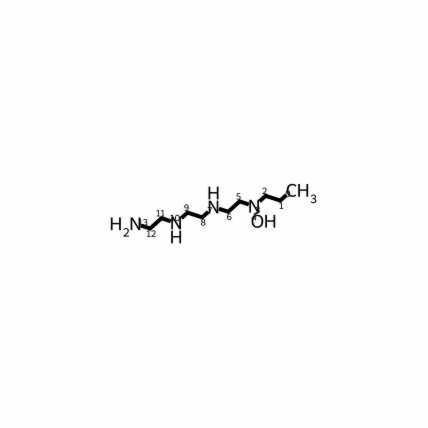 CCCN(O)CCNCCNCCN